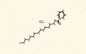 CCCCCCCCCCCCCCCC(=O)[n+]1ccccc1.[Cl-]